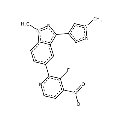 Cn1cc(-c2nn(C)c3ccc(-c4nccc([N+](=O)[O-])c4F)cc23)cn1